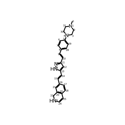 CN1CCN(c2ccc(/C=C/c3cc(/C=C/c4ccc5c(c4)CNC=C5)[nH]n3)cc2)CC1